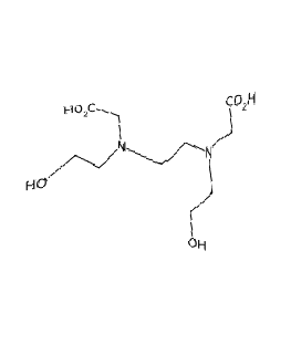 O=C(O)CN(CCO)CCN(CCO)CC(=O)O